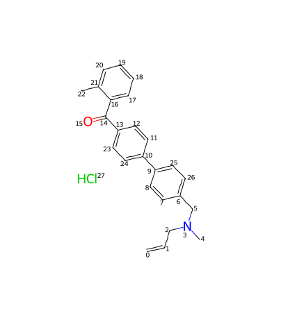 C=CCN(C)Cc1ccc(-c2ccc(C(=O)c3ccccc3C)cc2)cc1.Cl